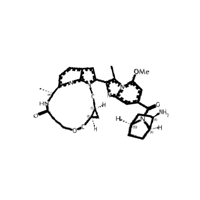 COc1cc(C(=O)N2[C@H]3CC[C@@H]2[C@H](N)C3)cc2nc(-c3cc4ccc5nc4n3C[C@H]3C[C@H]3COCCC(=O)N[C@@H]5C)c(C)n12